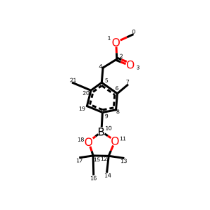 COC(=O)Cc1c(C)cc(B2OC(C)(C)C(C)(C)O2)cc1C